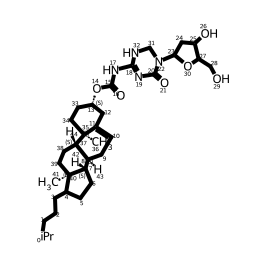 CC(C)CCCC1CC[C@H]2[C@@H]3CC=C4C[C@@H](OC(=O)NC5=NC(=O)N(C6CC(O)C(CO)O6)CN5)CC[C@]4(C)[C@H]3CC[C@]12C